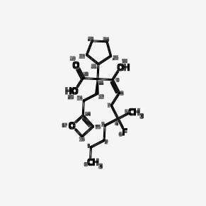 CCCCC(C)(F)C/C=C(/O)[C@](CCC1=CCO1)(C(=O)O)C1CCCC1